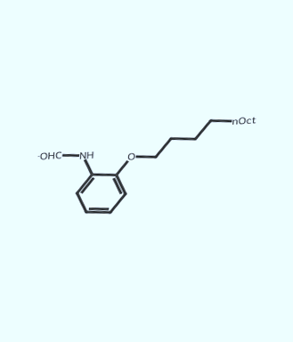 CCCCCCCCCCCCOc1ccccc1N[C]=O